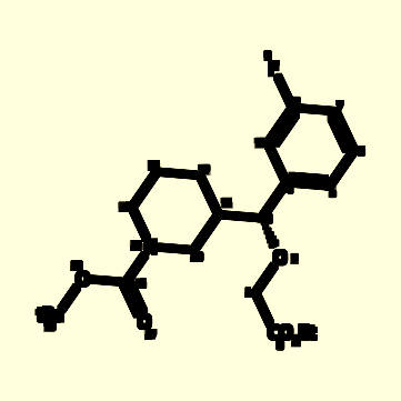 CCOC(=O)CO[C@@H](c1cccc(F)c1)C1CCCN(C(=O)OC(C)(C)C)C1